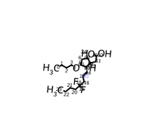 CCCCO[C@@H]1C[C@@H]2OC(O)C[C@@H]2[C@H]1/C=C/CC(F)(F)CCCC